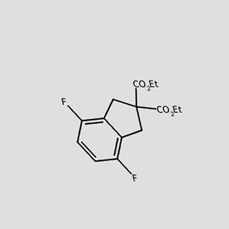 CCOC(=O)C1(C(=O)OCC)Cc2c(F)ccc(F)c2C1